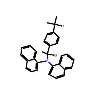 CCC(C)(C)c1ccc(C(C)(CC)N(c2cccc3ccccc23)c2cccc3ccccc23)cc1